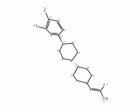 N#C/C(F)=C/C1CCC([C@H]2CC[C@H](c3ccc(F)c(F)c3)CC2)CC1